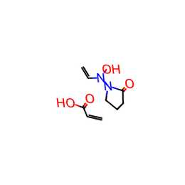 C=CC(=O)O.C=CN(O)N1CCCC1=O